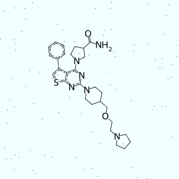 NC(=O)C1CCN(c2nc(N3CCC(COCCN4CCCC4)CC3)nc3scc(-c4ccccc4)c23)C1